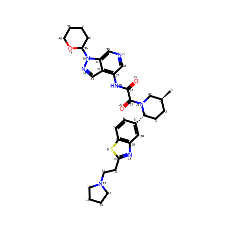 C[C@H]1CC[C@H](c2ccc3sc(CCN4CCCC4)nc3c2)N(C(=O)C(=O)Nc2cncc3c2cnn3C2CCCCO2)C1